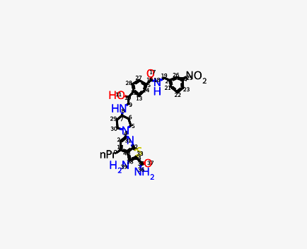 CCCc1cc(N2CCC(NCC(O)c3ccc(C(=O)NCc4cccc([N+](=O)[O-])c4)cc3)CC2)nc2sc(C(N)=O)c(N)c12